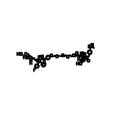 Cc1ncsc1-c1ccc(CNC(=O)[C@@H]2C[C@@H](O)CN2C(=O)[C@@H](NC(=O)COCCOCCOCCOCCOc2ccc(NC(=O)c3c(-c4ccccc4)c(-c4ccc(F)cc4)n(CC[C@H](O)C[C@H](O)CC(=O)O)c3C(C)C)cc2)C(C)(C)C)cc1